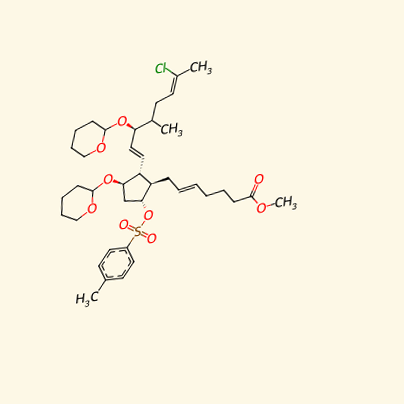 COC(=O)CCCC=CC[C@@H]1[C@@H](C=C[C@@H](OC2CCCCO2)C(C)CC=C(C)Cl)[C@H](OC2CCCCO2)C[C@H]1OS(=O)(=O)c1ccc(C)cc1